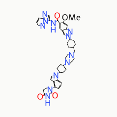 COc1cc2nn(C3CCC(CN4CCN(C5CCC(n6ccc7c(N8CCC(=O)NC8=O)cccc76)CC5)CC4)CC3)cc2cc1C(=O)Nc1cnc2cccnn12